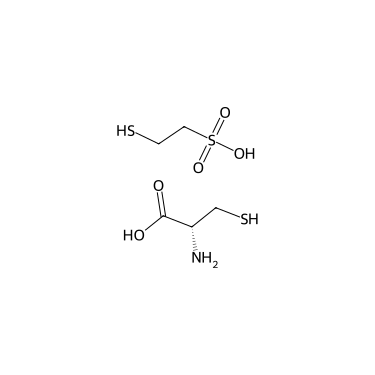 N[C@@H](CS)C(=O)O.O=S(=O)(O)CCS